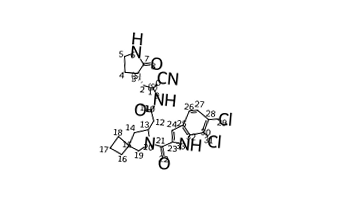 N#C[C@H](C[C@@H]1CCNC1=O)NC(=O)CC1CC2(CCC2)CN1C(=O)c1cc2ccc(Cl)c(Cl)c2[nH]1